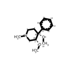 CO[C@@H]1CN(C)CC[C@@]1(OC)c1ccccc1